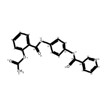 CC(=O)Oc1ccccc1C(=O)Sc1ccc(SC(=O)c2cccnc2)cc1